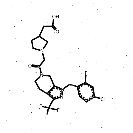 O=C(O)CC1CCN(CC(=O)N2CCc3c(C(F)(F)F)nn(Cc4ccc(Cl)cc4F)c3C2)C1